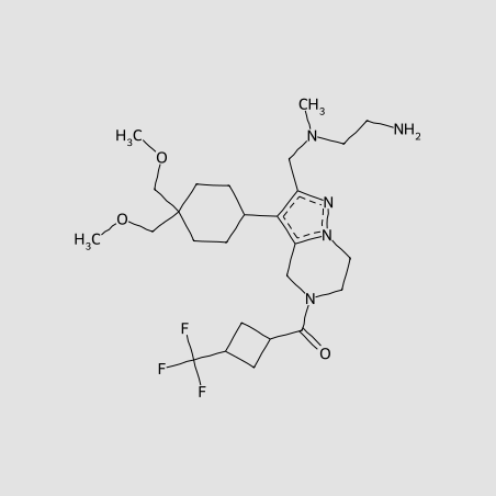 COCC1(COC)CCC(c2c(CN(C)CCN)nn3c2CN(C(=O)C2CC(C(F)(F)F)C2)CC3)CC1